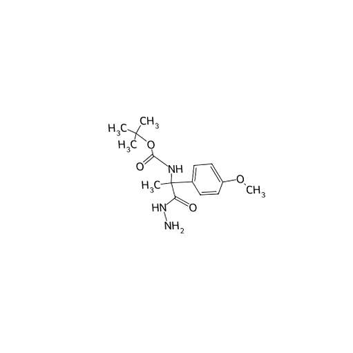 COc1ccc(C(C)(NC(=O)OC(C)(C)C)C(=O)NN)cc1